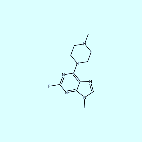 CN1CCN(c2nc(F)nc3c2ncn3C)CC1